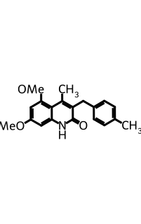 COc1cc(OC)c2c(C)c(Cc3ccc(C)cc3)c(=O)[nH]c2c1